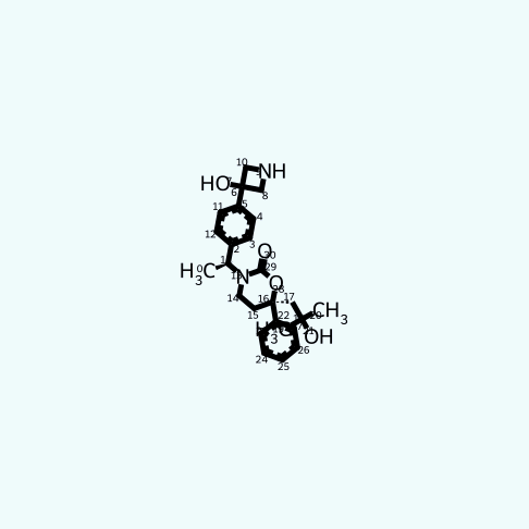 C[C@@H](c1ccc(C2(O)CNC2)cc1)N1CC[C@](CC(C)(C)O)(c2ccccc2)OC1=O